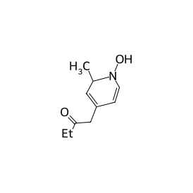 CCC(=O)CC1=CC(C)N(O)C=C1